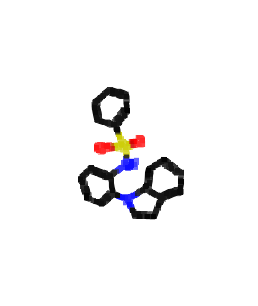 O=S(=O)(Nc1ccccc1-n1ccc2ccccc21)c1ccccc1